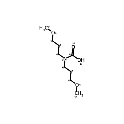 COCCCN(CCCOC)C(=O)O